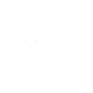 Nc1nncc(-c2cccc(-c3ccccc3)c2)n1